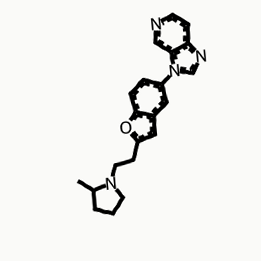 CC1CCCN1CCc1cc2cc(-n3cnc4ccncc43)ccc2o1